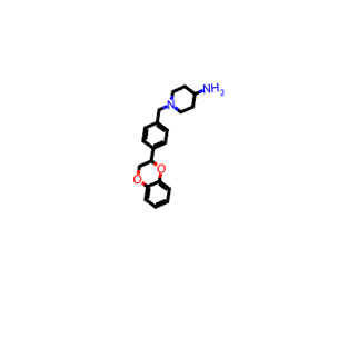 NC1CCN(Cc2ccc(C3COc4ccccc4O3)cc2)CC1